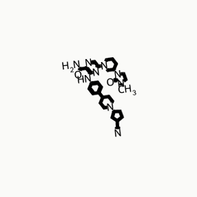 CN1CCN(C2CCCN(c3cnc(C(N)=O)c(Nc4ccc(C5CCN(C6CCC(C#N)C6)CC5)cc4)n3)C2)C1=O